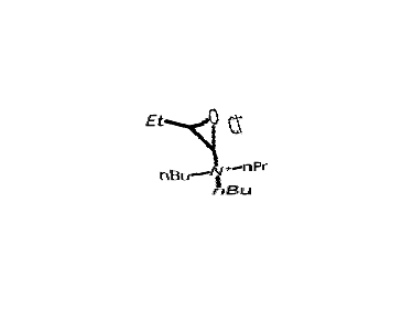 CCCC[N+](CCC)(CCCC)C1OC1CC.[Cl-]